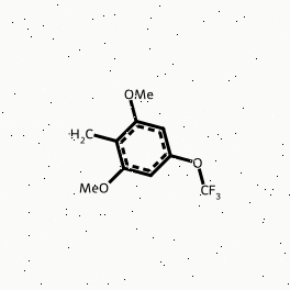 [CH2]c1c(OC)cc(OC(F)(F)F)cc1OC